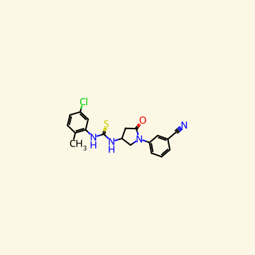 Cc1ccc(Cl)cc1NC(=S)NC1CC(=O)N(c2cccc(C#N)c2)C1